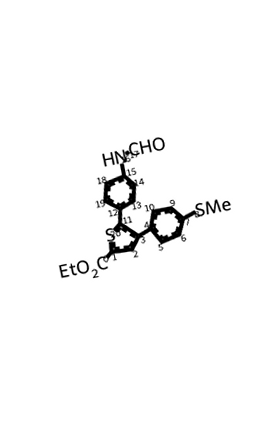 CCOC(=O)c1cc(-c2ccc(SC)cc2)c(-c2ccc(NC=O)cc2)s1